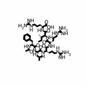 CC[C@H](C)[C@H](NC(=O)[C@H](CCCNC(=N)N)NC(=O)[C@H](CCCNC(=N)N)NC(=O)[C@H](CC(C)C)NC(=O)[C@H](Cc1ccccc1)NC(C)=O)C(=O)N[C@@H](CCCNC(=N)N)C(=O)O